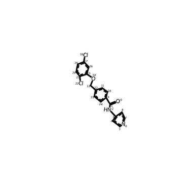 O=C(Nc1ccncc1)c1ccc(COc2cc(Cl)ccc2Cl)cc1